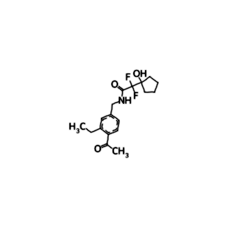 CCc1cc(CNC(=O)C(F)(F)C2(O)CCCC2)ccc1C(C)=O